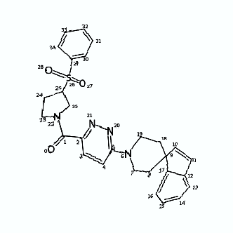 O=C(c1ccc(N2CCC3(C=Cc4ccccc43)CC2)nn1)N1CCC(S(=O)(=O)c2ccccc2)C1